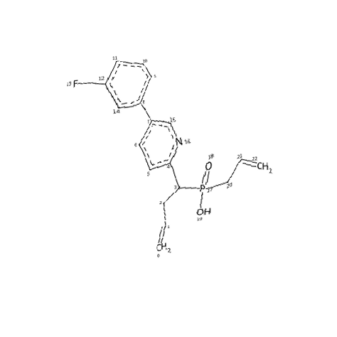 C=CCC(c1ccc(-c2cccc(F)c2)cn1)P(=O)(O)CC=C